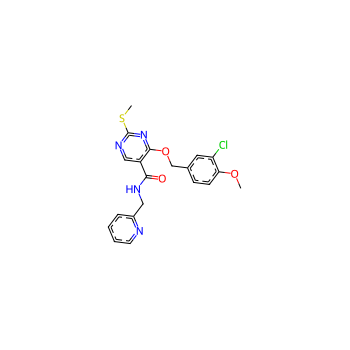 COc1ccc(COc2nc(SC)ncc2C(=O)NCc2ccccn2)cc1Cl